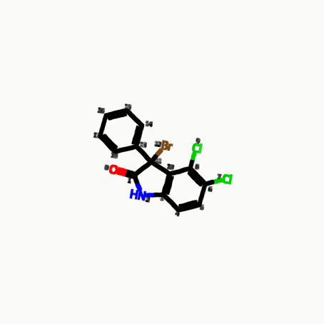 O=C1Nc2ccc(Cl)c(Cl)c2C1(Br)c1ccccc1